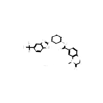 CN1C(=O)COc2ccc(C(=O)N[C@@H]3CCC[C@H](c4nc5cc(C(F)(F)F)ccc5[nH]4)C3)cc21.Cl